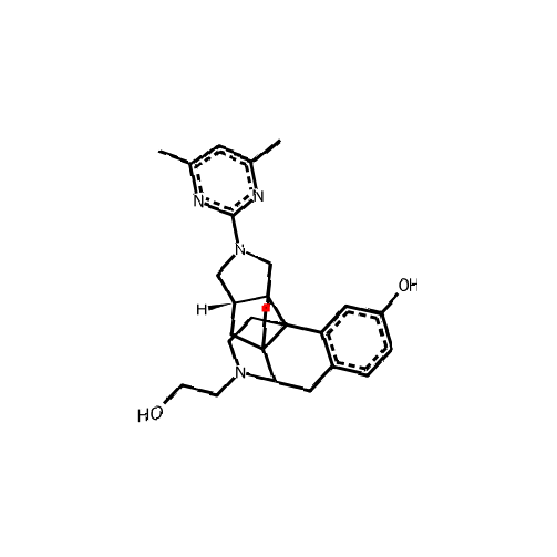 Cc1cc(C)nc(N2C[C@H]3CC45CCC2C3C42CCN(CCO)C5Cc3ccc(O)cc32)n1